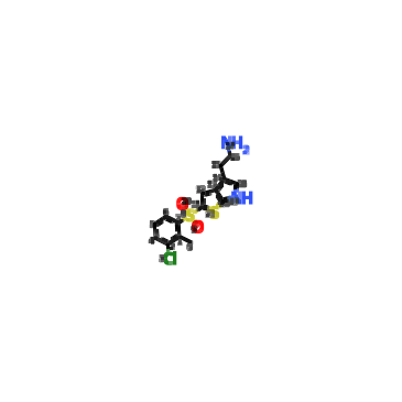 Cc1c(Cl)cccc1S(=O)(=O)c1cc2c(CCN)c[nH]c2s1